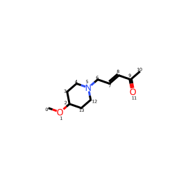 COC1CCN(C/C=C/C(C)=O)CC1